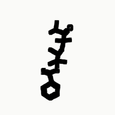 CC(C)C(=O)C(C)(C)CC(C)C(C)(C)SC(=S)c1ccccc1